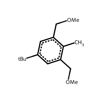 COCc1cc(C(C)(C)C)cc(COC)c1C